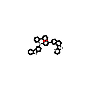 c1ccc(-c2ccccc2N(c2ccc(-c3ccc4ccc5oc6cccnc6c5c4c3)cc2)c2ccc3oc4ccccc4c3c2)cc1